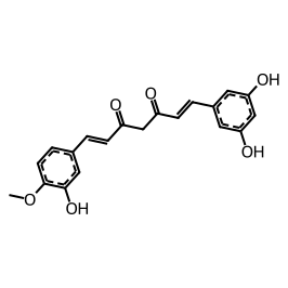 COc1ccc(C=CC(=O)CC(=O)C=Cc2cc(O)cc(O)c2)cc1O